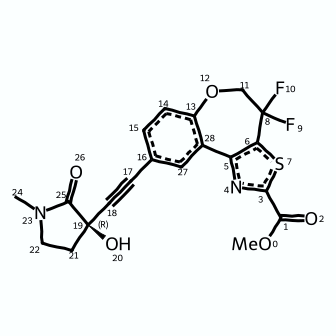 COC(=O)c1nc2c(s1)C(F)(F)COc1ccc(C#C[C@]3(O)CCN(C)C3=O)cc1-2